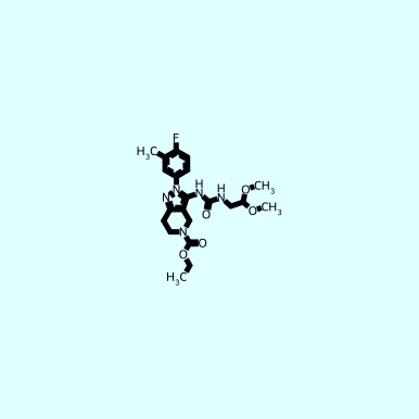 CCOC(=O)N1CCc2nn(-c3ccc(F)c(C)c3)c(NC(=O)NCC(OC)OC)c2C1